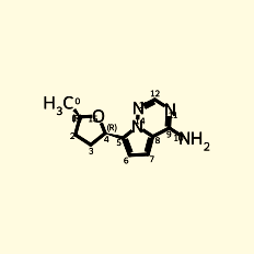 C[C@@H]1CC[C@H](c2ccc3c(N)ncnn23)O1